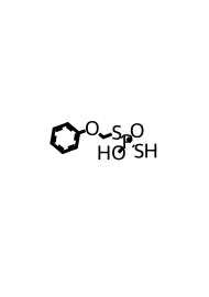 O=P(O)(S)SCOc1ccccc1